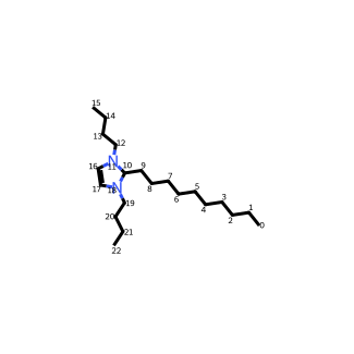 CCCCCCCCCCC1N(CCCC)C=CN1CCCC